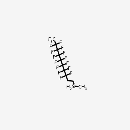 C[SiH2]CCC(F)(F)C(F)(F)C(F)(F)C(F)(F)C(F)(F)C(F)(F)C(F)(F)C(F)(F)F